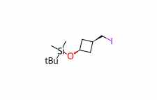 CC(C)(C)[Si](C)(C)O[C@H]1C[C@@H](CI)C1